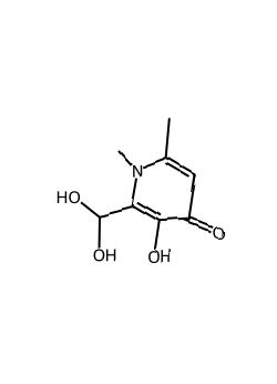 Cc1cc(=O)c(O)c(C(O)O)n1C